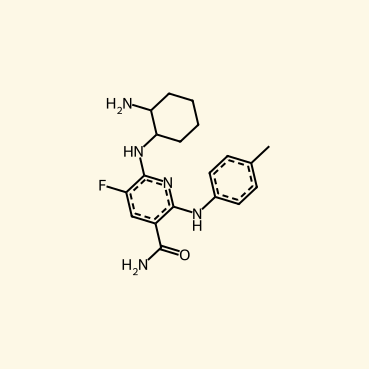 Cc1ccc(Nc2nc(NC3CCCCC3N)c(F)cc2C(N)=O)cc1